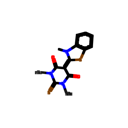 CCCCN1C(=O)C(=C2Sc3ccccc3N2C)C(=O)N(CCCC)C1=S